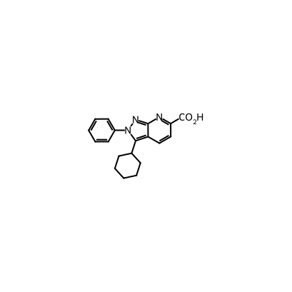 O=C(O)c1ccc2c(C3CCCCC3)n(-c3ccccc3)nc2n1